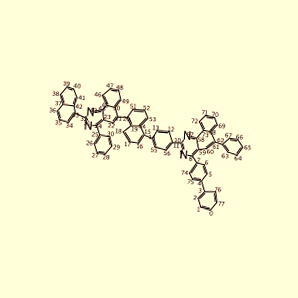 c1ccc(-c2ccc(-c3nc(-c4ccc(-c5cccc6c(-c7cc8c(-c9ccccc9)nc(-c9cccc%10ccccc9%10)nc8c8ccccc78)cccc56)cc4)nc4c3cc(-c3ccccc3)c3ccccc34)cc2)cc1